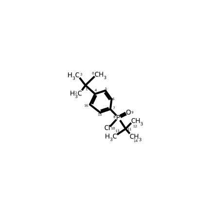 CC(C)(C)c1ccc(P(=O)(Cl)C(C)(C)C)cc1